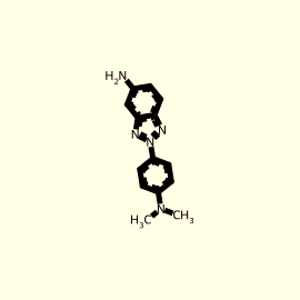 CN(C)c1ccc(-n2nc3ccc(N)cc3n2)cc1